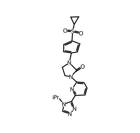 CC(C)n1cnnc1-c1cccc(N2CCN(c3ccc(S(=O)(=O)C4CC4)cc3)C2=O)n1